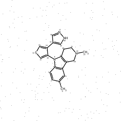 Cc1ccc2c(c1)c1c(n2-c2cscc2-c2cn[nH]c2)CCN(C)C1